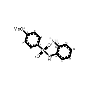 COc1ccc(S(=O)(=O)Nc2ccccc2N)cc1